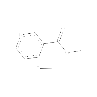 CF.COC(=O)c1cccnc1